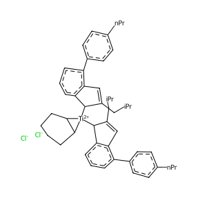 CCCc1ccc(-c2cccc3c2C=C(CC(C)C)[CH]3[Ti+2]2([CH]3C(CC(C)C)=Cc4c(-c5ccc(CCC)cc5)cccc43)[CH]3CCCC[CH]32)cc1.[Cl-].[Cl-]